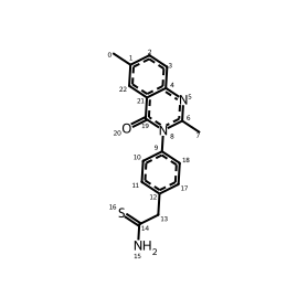 Cc1ccc2nc(C)n(-c3ccc(CC(N)=S)cc3)c(=O)c2c1